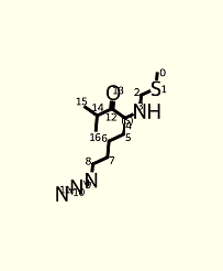 CSCN[C@@H](CCCCN=[N+]=[N-])C(=O)C(C)C